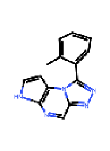 Cc1ccccc1-c1nnc2cnc3[nH]ccc3n12